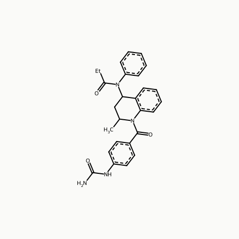 CCC(=O)N(c1ccccc1)C1CC(C)N(C(=O)c2ccc(NC(N)=O)cc2)c2ccccc21